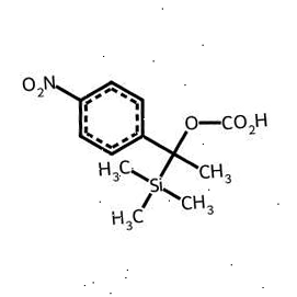 CC(OC(=O)O)(c1ccc([N+](=O)[O-])cc1)[Si](C)(C)C